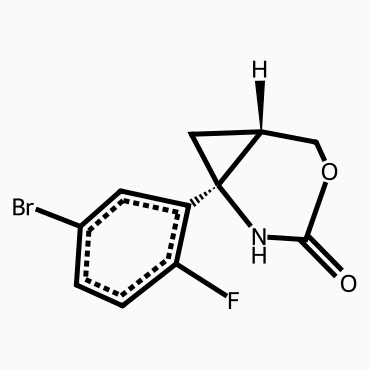 O=C1N[C@@]2(c3cc(Br)ccc3F)C[C@@H]2CO1